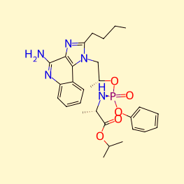 CCCCc1nc2c(N)nc3ccccc3c2n1C[C@@H](C)O[P@@](=O)(N[C@@H](C)C(=O)OC(C)C)Oc1ccccc1